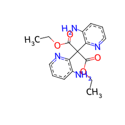 CCOC(=O)C(C(=O)OCC)(c1ncccc1N)c1ncccc1N